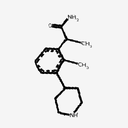 Cc1c(C2CCNCC2)cccc1C(C)C(N)=O